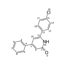 O=c1cc(-c2ccccc2)cc(-c2ccc(Cl)cc2)[nH]1